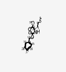 COC(=O)[C@H](CCSC)NC(=O)OCc1ccccc1